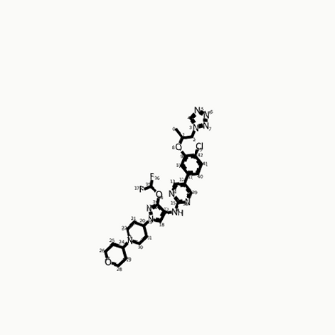 CC(Cn1cnnn1)Oc1cc(-c2cnc(Nc3cn(C4CCN(C5CCOCC5)CC4)nc3OC(F)F)nc2)ccc1Cl